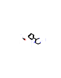 CC(C)(CN)Oc1cccc2c3c([nH]c12)CCNC3